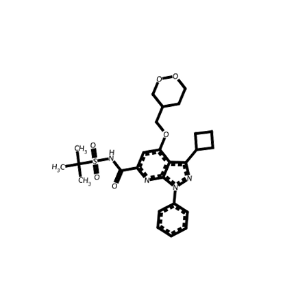 CC(C)(C)S(=O)(=O)NC(=O)c1cc(OCC2CCOOC2)c2c(C3CCC3)nn(-c3ccccc3)c2n1